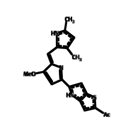 COC1=CC(c2cc3sc(C(C)=O)cc3[nH]2)=NC1=Cc1[nH]c(C)cc1C